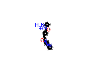 Nc1ccccc1NC(=O)c1ccc(/C=C/C(=O)N2CCN(c3ccccn3)CC2)cc1